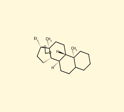 CC[C@]12CC[C@@]3(OCO1)[C@@H]1CCC4CCCC[C@]4(C)[C@H]1CC[C@]23C